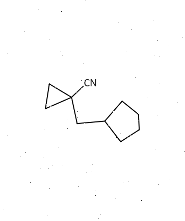 N#CC1(CC2CCCC2)CC1